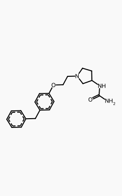 NC(=O)NC1CCN(CCOc2ccc(Cc3ccccc3)cc2)C1